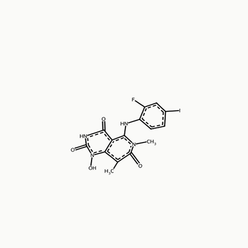 Cc1c(=O)n(C)c(Nc2ccc(I)cc2F)c2c(=O)[nH]c(=O)n(O)c12